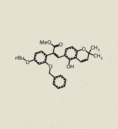 CCCCOc1ccc(/C(=C/c2ccc3c(c2O)C=CC(C)(C)O3)C(=O)OC)c(OCc2ccccc2)c1